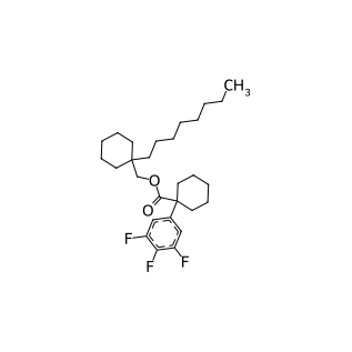 CCCCCCCCC1(COC(=O)C2(c3cc(F)c(F)c(F)c3)CCCCC2)CCCCC1